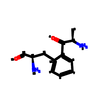 C[C@@H](N)C(=O)c1ccccc1C[C@@H](N)C=O